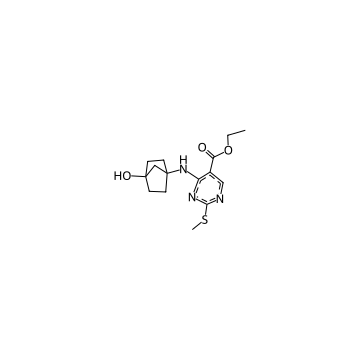 CCOC(=O)c1cnc(SC)nc1NC12CCC(O)(CC1)C2